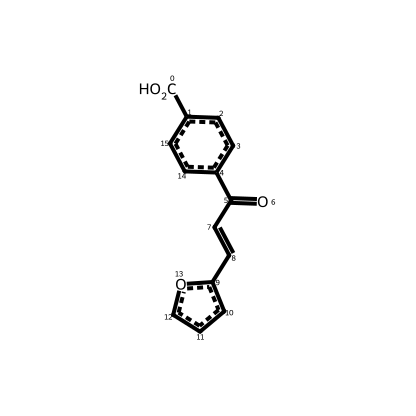 O=C(O)c1ccc(C(=O)/C=C/c2ccco2)cc1